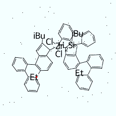 CCc1ccc2c(c1-c1ccccc1-c1ccccc1)C=C(C(C)CC)[CH]2[Zr]([Cl])([Cl])([c]1cccc2c1[SiH2]c1ccccc1-2)[CH]1C(C(C)CC)=Cc2c1ccc(CC)c2-c1ccccc1-c1ccccc1